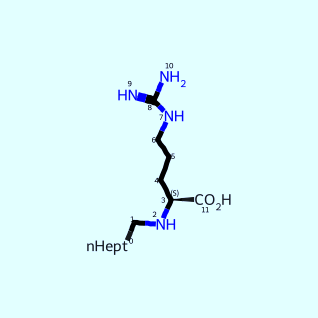 CCCCCCCCN[C@@H](CCCNC(=N)N)C(=O)O